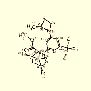 COC(=O)C[C@H]1[C@@H]2C[C@H]1CN(c1cc(C(F)(F)F)nc(N3CC[C@@H]3C)n1)C2